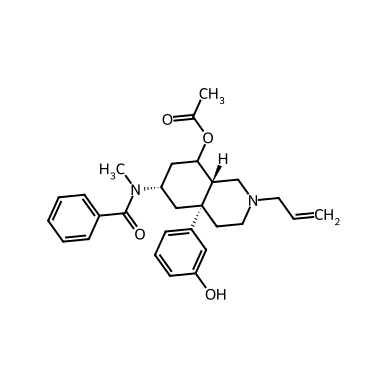 C=CCN1CC[C@@]2(c3cccc(O)c3)C[C@H](N(C)C(=O)c3ccccc3)CC(OC(C)=O)[C@@H]2C1